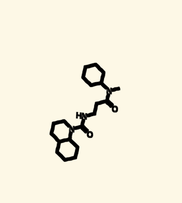 CN(C(=O)CCNC(=O)N1CCCC2CCCCC21)C1CCCCC1